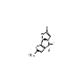 Cc1cc2c(s1)-c1sc(I)cc1C2(F)F